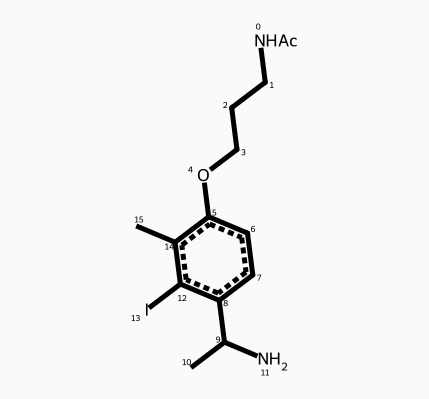 CC(=O)NCCCOc1ccc(C(C)N)c(I)c1C